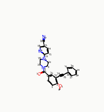 COc1ccc(C(=O)N2CCN(c3ccc(C#N)cn3)CC2)cc1C#Cc1ccccc1